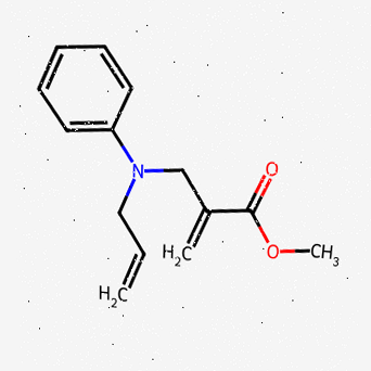 C=CCN(CC(=C)C(=O)OC)c1ccccc1